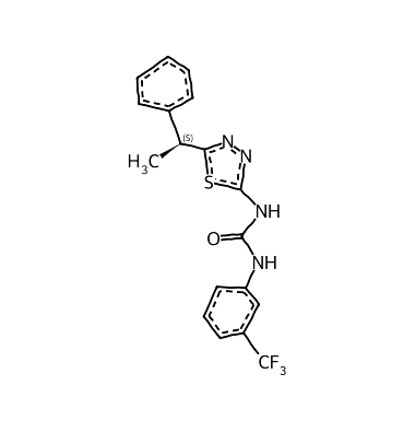 C[C@@H](c1ccccc1)c1nnc(NC(=O)Nc2cccc(C(F)(F)F)c2)s1